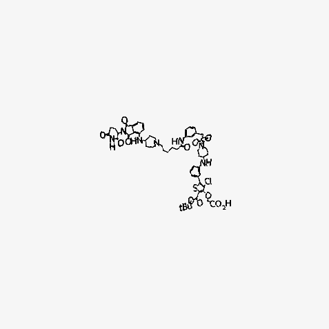 CC(C)(C)OC(=O)c1sc(-c2cccc(NC3CCN(S(=O)(=O)Cc4cccc(NC(=O)CCCCCN5CCC(Nc6cccc7c6C(=O)N(C6CCC(=O)NC6=O)C7=O)CC5)c4)CC3)c2)c(Cl)c1OCC(=O)O